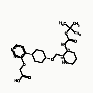 CC(C)(C)OC(=O)N[C@H]1CCCN[C@H]1CO[C@H]1CC[C@@H](c2ccnnc2OCC(=O)O)CC1